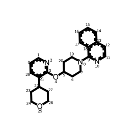 c1cnc(OC2CCN(c3nccc4ccccc34)CC2)c(C2CCOCC2)c1